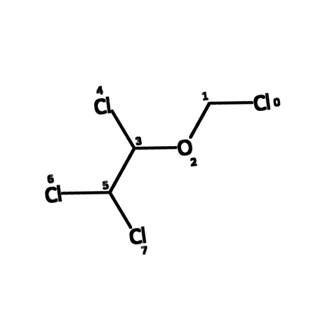 ClCOC(Cl)C(Cl)Cl